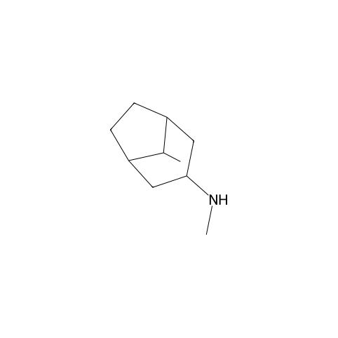 CNC1CC2CCC(C1)C2C